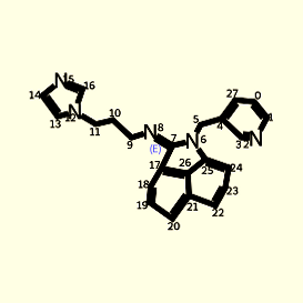 c1cncc(CN2/C(=N/CCCn3ccnc3)c3cccc4cccc2c34)c1